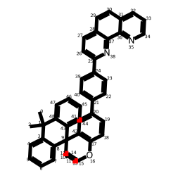 CC1(C)c2ccccc2C2(c3ccccc3Oc3ccc(-c4ccc(-c5ccc6ccc7cccnc7c6n5)cc4)cc32)c2ccccc21